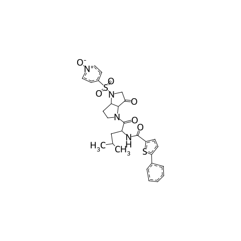 CC(C)CC(NC(=O)c1ccc(-c2ccccc2)s1)C(=O)N1CCC2C1C(=O)CN2S(=O)(=O)c1cc[n+]([O-])cc1